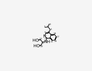 CC(C)Cc1cnc(NC(CO)CO)c2ccccc12